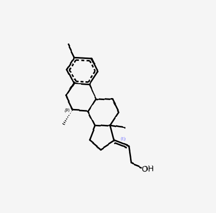 Cc1ccc2c(c1)C[C@@H](C)C1C2CCC2(C)/C(=C/CO)CCC12